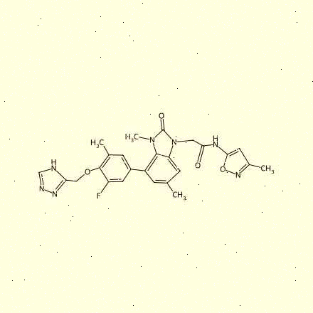 Cc1cc(-c2cc(C)c(OCc3nnc[nH]3)c(F)c2)c2c(c1)n(CC(=O)Nc1cc(C)no1)c(=O)n2C